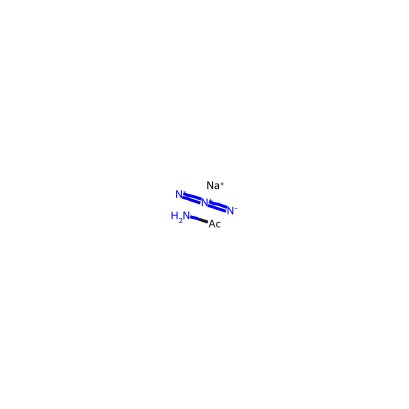 CC(N)=O.[N-]=[N+]=[N-].[Na+]